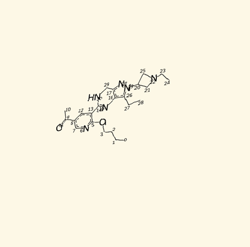 CCCCOc1ncc(C(C)=O)cc1C1=Nc2c(nn(C3CN(CC)C3)c2CC)CN1